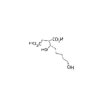 O=C(O)CC(C(=O)O)C(O)CCCCCO